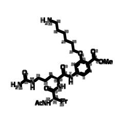 COC(=O)c1ccc(NC(=O)[C@H](CCCNC(N)=O)NC(=O)[C@@H](NC(C)=O)C(C)C)cc1OCCCCCCN